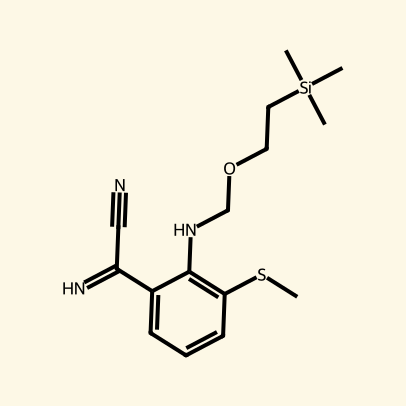 CSc1cccc(C(=N)C#N)c1NCOCC[Si](C)(C)C